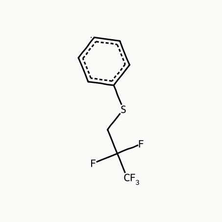 FC(F)(F)C(F)(F)CSc1cc[c]cc1